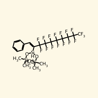 C[Si](C)(C)O[SiH](O[Si](C)(C)C)C(=Cc1ccccc1)C(F)(F)C(F)(F)C(F)(F)C(F)(F)C(F)(F)C(F)(F)C(F)(F)C(F)(F)F